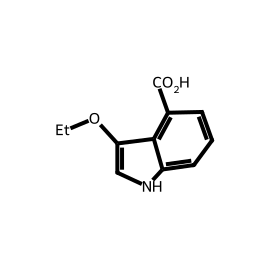 CCOc1c[nH]c2cccc(C(=O)O)c12